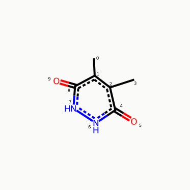 Cc1c(C)c(=O)[nH][nH]c1=O